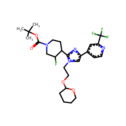 CC(C)(C)OC(=O)N1CCC(c2nc(-c3ccnc(C(F)(F)F)c3)cn2CCOC2CCCCO2)C(F)C1